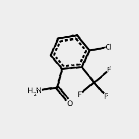 NC(=O)c1cccc(Cl)c1C(F)(F)F